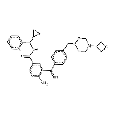 N=C(c1ccc(CC2CCN(C3COC3)CC2)cc1)c1cc(C(=O)NC(c2ccccn2)C2CC2)ccc1N